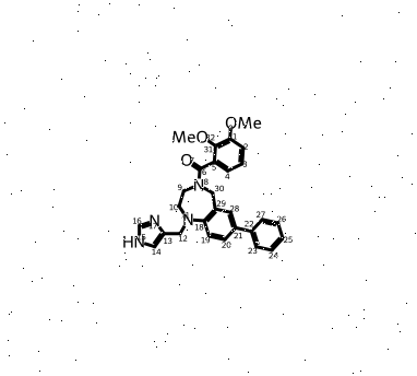 COc1cccc(C(=O)N2CCN(Cc3c[nH]cn3)c3ccc(-c4ccccc4)cc3C2)c1OC